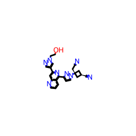 N#CC[C@]1(n2ccc(-c3nc(-c4cnn(CCO)c4)cc4ncccc34)n2)C[C@H](C#N)C1